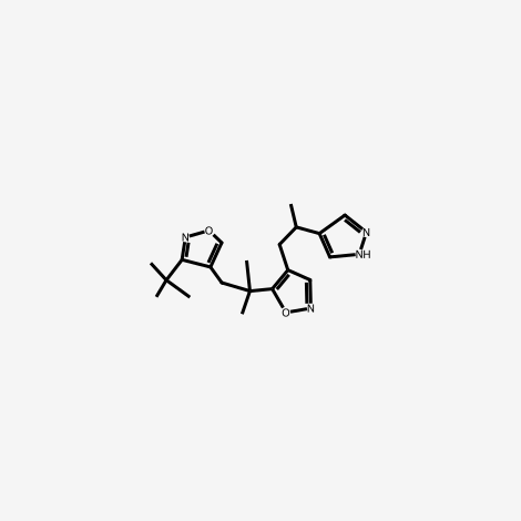 CC(Cc1cnoc1C(C)(C)Cc1conc1C(C)(C)C)c1cn[nH]c1